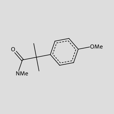 CNC(=O)C(C)(C)c1ccc(OC)cc1